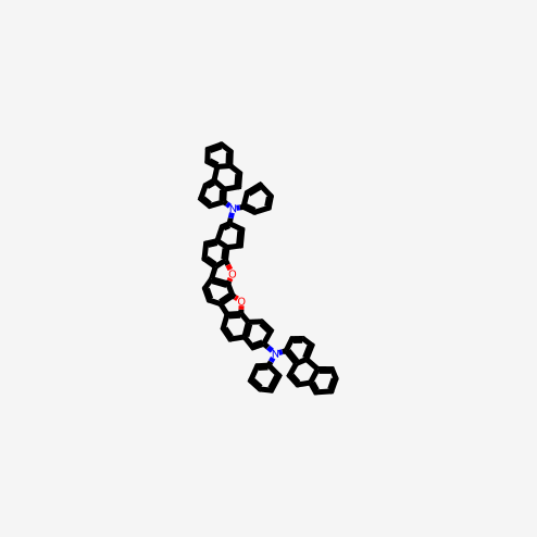 c1ccc(N(c2ccc3c(ccc4c5ccc6c7ccc8cc(N(c9ccccc9)c9cccc%10c9ccc9ccccc9%10)ccc8c7oc6c5oc34)c2)c2cccc3c2ccc2ccccc23)cc1